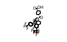 O=C(O)[C@H]1CC[C@H](C(=O)N2CCC3(S(=O)(=O)c4ccc(C(F)(F)F)cc4)c4ccc(C(F)(C(F)(F)F)C(F)(F)F)cc4CCC23)CC1